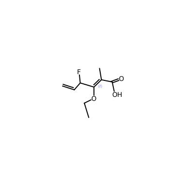 C=CC(F)/C(OCC)=C(\C)C(=O)O